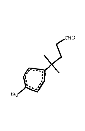 CC(C)(C)c1ccc(C(C)(C)CCC=O)cc1